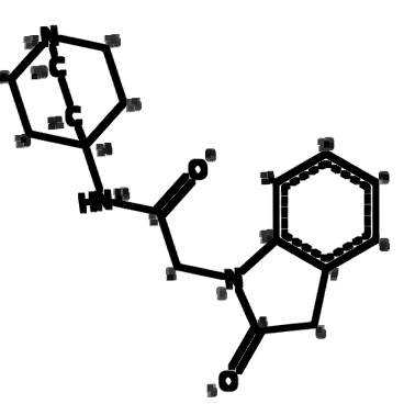 O=C(CN1C(=O)Cc2ccccc21)NC12CCN(CC1)CC2